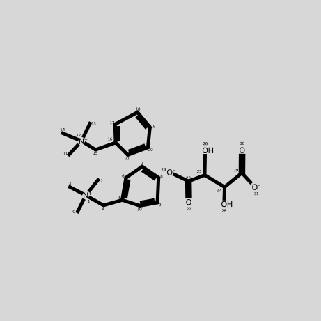 C[N+](C)(C)Cc1ccccc1.C[N+](C)(C)Cc1ccccc1.O=C([O-])C(O)C(O)C(=O)[O-]